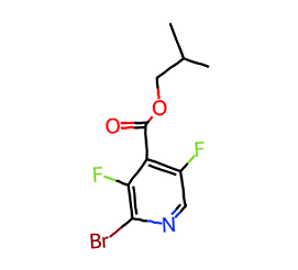 CC(C)COC(=O)c1c(F)cnc(Br)c1F